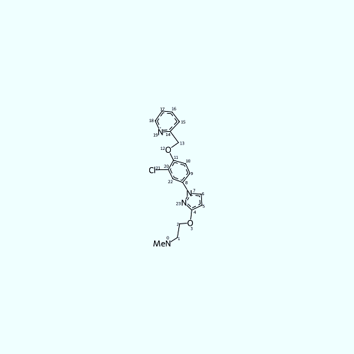 CNCCOc1ccn(-c2ccc(OCc3ccccn3)c(Cl)c2)n1